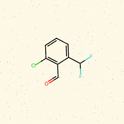 O=[C]c1c(Cl)cccc1C(F)F